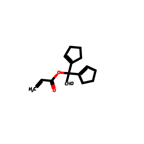 C=CC(=O)OC(C=O)(C1=CCCC1)C1=CCCC1